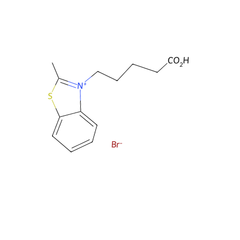 Cc1sc2ccccc2[n+]1CCCCC(=O)O.[Br-]